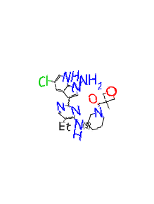 CCc1cnc(C2=CN(N)C3NC=C(Cl)C=C23)nc1N[C@H]1CCCN(C(=O)C2(C)COC2)C1